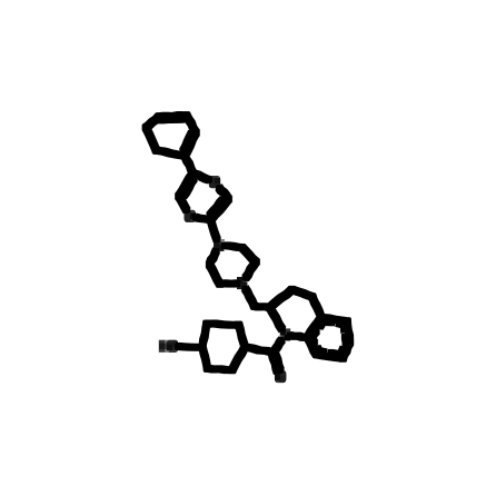 O=C(C1CCC(O)CC1)N1c2ccccc2CCC1CN1CCN(C2=COC(C3=CC=CCC3)=CO2)CC1